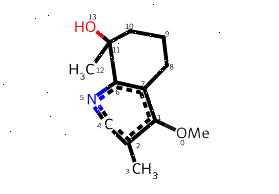 COc1c(C)cnc2c1CCCC2(C)O